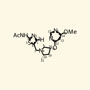 [2H]c1nc(NC(C)=O)sc1CN1C[C@H](Oc2cc(OC)ncn2)C[C@@H]1C